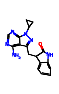 Nc1ncnc2c1c(CC1C(=O)Nc3ccccc31)nn2C1CC1